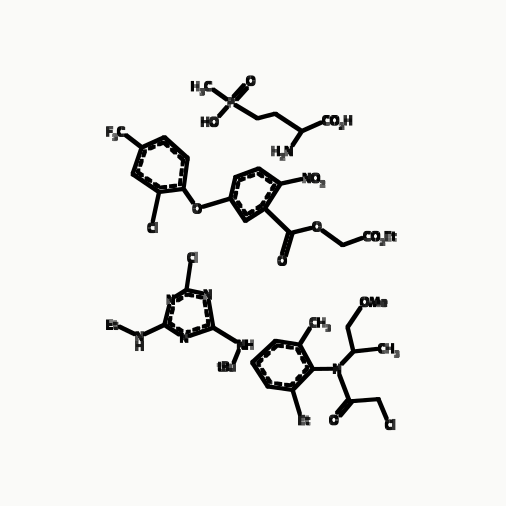 CCNc1nc(Cl)nc(NC(C)(C)C)n1.CCOC(=O)COC(=O)c1cc(Oc2ccc(C(F)(F)F)cc2Cl)ccc1[N+](=O)[O-].CCc1cccc(C)c1N(C(=O)CCl)C(C)COC.CP(=O)(O)CCC(N)C(=O)O